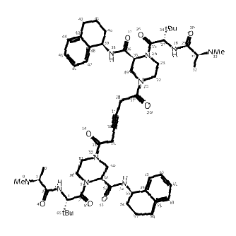 CN[C@@H](C)C(=O)N[C@H](C(=O)N1CCN(C(=O)CC#CCC(=O)N2CCN(C(=O)[C@@H](NC(=O)[C@H](C)NC)C(C)(C)C)[C@H](C(=O)N[C@@H]3CCCc4ccccc43)C2)C[C@H]1C(=O)N[C@@H]1CCCc2ccccc21)C(C)(C)C